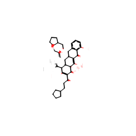 CCC(=O)C[C@@H]1[C@]2(C)C(=C(O)[C@@]3(O)C(=O)C(C(=O)CCC4CCCC4)=C(O)C(C(C)C)[C@@]13C)C(=O)c1c(O)cccc1[C@H]2CCC1CCCC1